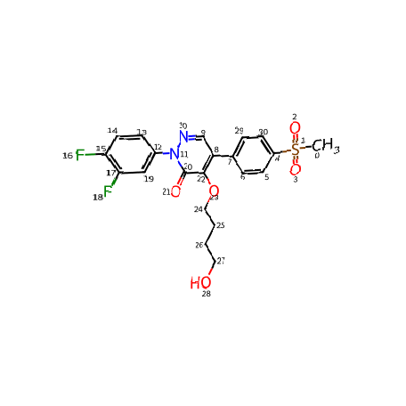 CS(=O)(=O)c1ccc(-c2cnn(-c3ccc(F)c(F)c3)c(=O)c2OCCCCO)cc1